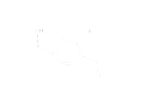 CCc1ccc(CO)cc1F